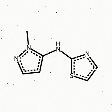 Cn1nccc1Nc1nccs1